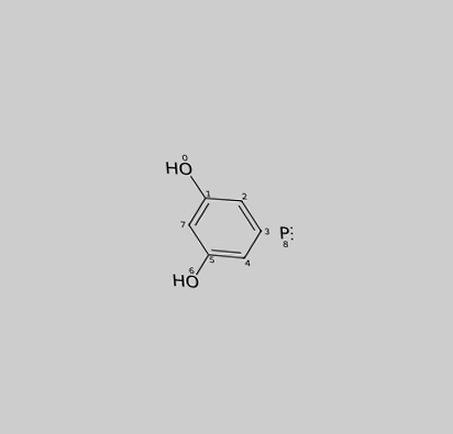 Oc1cccc(O)c1.[P]